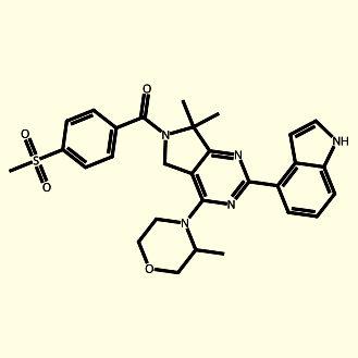 CC1COCCN1c1nc(-c2cccc3[nH]ccc23)nc2c1CN(C(=O)c1ccc(S(C)(=O)=O)cc1)C2(C)C